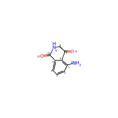 Nc1cccc2c1C(=O)CNC2=O